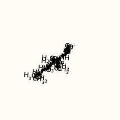 CC(C)(C)OC(=O)NCCCNC(=O)OCCCC(N(CCCNCCc1ccc([N+](=O)[O-])cc1)C(=O)OC(C)(C)C)C(C)(C)C